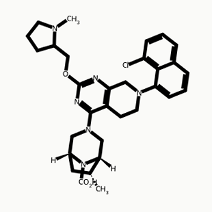 C[C@@H]1C[C@@H]2CN(c3nc(OCC4CCCN4C)nc4c3CCN(c3cccc5cccc(Cl)c35)C4)C[C@H]1N2C(=O)O